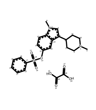 CN1CCC(c2cn(C)c3ccc(OS(=O)(=O)c4ccccc4)cc23)CC1.O=C(O)C(=O)O